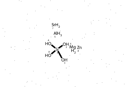 O[Si](O)(O)O.[AlH3].[MgH2].[SrH2].[Zn]